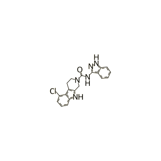 O=C(Nc1n[nH]c2ccccc12)N1CCc2c([nH]c3cccc(Cl)c23)C1